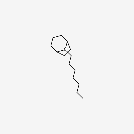 CCCCCCCN1C2CCCC1CC2